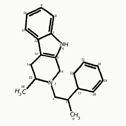 CC(CN1Cc2[nH]c3ccccc3c2CC1C)C1C=CC=CC1